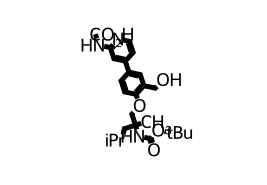 CC(C)CC(C)(COc1ccc(-c2ccnc(NC(=O)O)c2)cc1CO)NC(=O)OC(C)(C)C